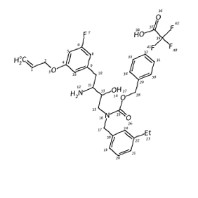 C=CCOc1cc(F)cc(CC(N)C(O)CN(Cc2cccc(CC)c2)C(=O)OCc2ccccc2)c1.O=C(O)C(F)(F)F